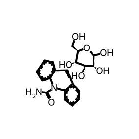 NC(=O)N1c2ccccc2C=Cc2ccccc21.OC[C@H]1OC(O)[C@H](O)[C@@H](O)[C@@H]1O